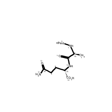 CCCCCN[C@@H](C)C(=O)N[C@@H](CCC(N)=O)C(=O)O